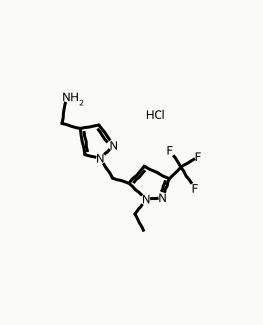 CCn1nc(C(F)(F)F)cc1Cn1cc(CN)cn1.Cl